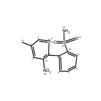 Cc1cnc(-c2ccccc2S(N)(=O)=O)c([N+](=O)[O-])c1